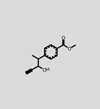 C#CC(O)C(C)c1ccc(C(=O)OC)cc1